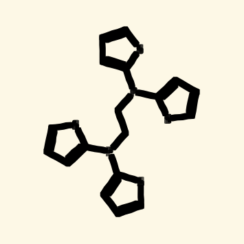 c1csc(P(CCP(c2cccs2)c2cccs2)c2cccs2)c1